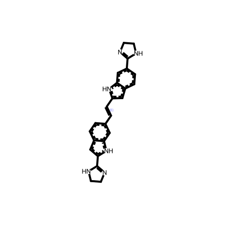 C(=C\c1cc2ccc(C3=NCCN3)cc2[nH]1)/c1ccc2cc(C3=NCCN3)[nH]c2c1